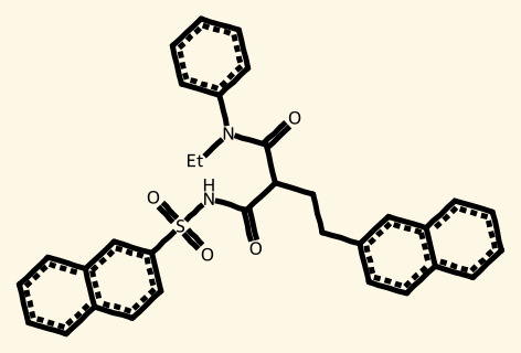 CCN(C(=O)C(CCc1ccc2ccccc2c1)C(=O)NS(=O)(=O)c1ccc2ccccc2c1)c1ccccc1